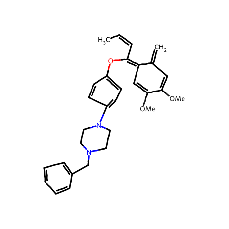 C=c1cc(OC)c(OC)c/c1=C(/C=C\C)Oc1ccc(N2CCN(Cc3ccccc3)CC2)cc1